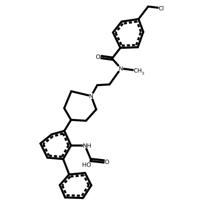 CN(CCN1CCC(c2cccc(-c3ccccc3)c2NC(=O)O)CC1)C(=O)c1ccc(CCl)cc1